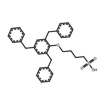 O=S(=O)(O)CCCCOc1c(Cc2ccccc2)cc(Cc2ccccc2)cc1Cc1ccccc1